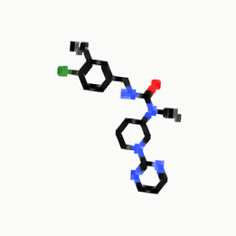 Cc1cc(CNC(=O)N(C)[C@@H]2CCCN(c3ncccn3)C2)ccc1Cl